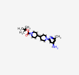 Cc1cc(N)cc(N2CCC(C3CCN(C(=O)OC(C)(C)C)CC3)CC2)n1